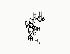 Cn1cc(N2CCCc3c(-c4nc(N[C@H]5CCC6(CCC6)NC5)ncc4C(F)(F)F)c[nH]c3C2=O)cn1